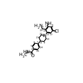 CNC(=O)c1ccc(C2CCN(c3cc(Cl)cc(N)c3CN)CC2)cc1